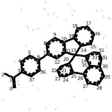 C=C(C)c1ccc(-c2ccc3c(c2)C2(c4ccccc4-3)c3ccccc3-c3cccc4cccc2c34)cc1